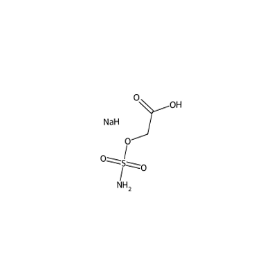 NS(=O)(=O)OCC(=O)O.[NaH]